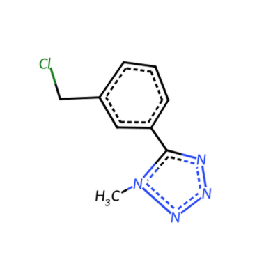 Cn1nnnc1-c1cccc(CCl)c1